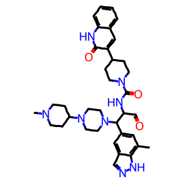 Cc1cc(C(C(C=O)NC(=O)N2CCC(c3cc4ccccc4[nH]c3=O)CC2)N2CCN(C3CCN(C)CC3)CC2)cc2cn[nH]c12